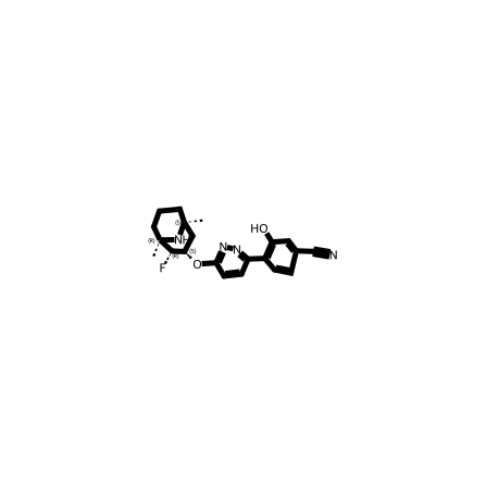 C[C@@]12CCC[C@@](C)(N1)[C@@H](F)[C@@H](Oc1ccc(-c3ccc(C#N)cc3O)nn1)C2